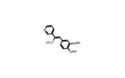 COc1ccc(/C=C(\C(=O)O)c2cccnc2)cc1OC